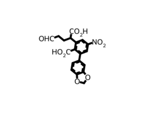 O=CCCC(C(=O)O)c1cc([N+](=O)[O-])cc(-c2ccc3c(c2)OCO3)c1C(=O)O